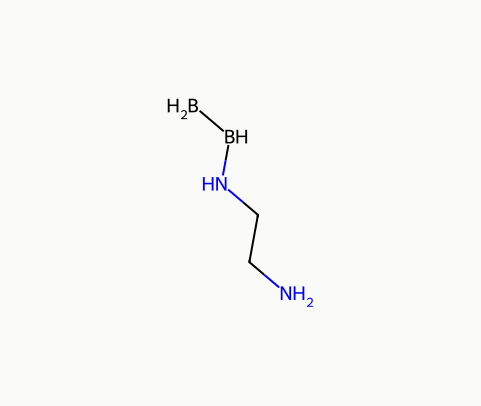 BBNCCN